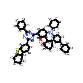 C1=CCC(N(c2ccc(-c3ccccc3)cc2)c2ccc(-c3nc(-c4ccccc4)nc(-c4ccc5c(c4)sc4ccccc45)n3)c3oc4ccccc4c23)C=C1